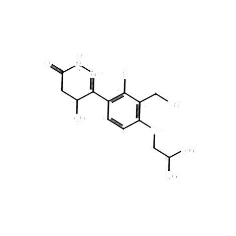 CCc1c(OCC(C)O)ccc(C2=NNC(=O)CC2C)c1F